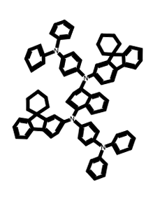 c1ccc(N(c2ccccc2)c2ccc(N(c3ccc4c(c3)C3(CCCCC3)c3ccccc3-4)c3ccc(N(c4ccc(N(c5ccccc5)c5ccccc5)cc4)c4ccc5c(c4)C4(CCCCC4)c4ccccc4-5)c4ccccc34)cc2)cc1